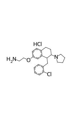 Cl.NCCOc1ccc2c(c1)C(Cc1ccccc1Cl)C(N1CCCC1)CC2